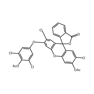 CC(=O)Oc1cc2c(cc1Cl)C1(OC(=O)c3ccccc31)c1cc(Cl)c(Oc3cc(Cl)c(OC(C)=O)c(Cl)c3)cc1O2